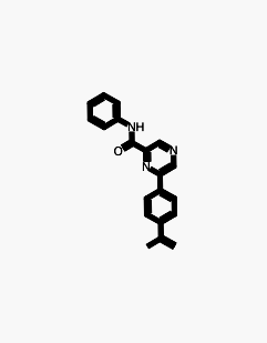 C=C(C)c1ccc(-c2cncc(C(=O)Nc3ccccc3)n2)cc1